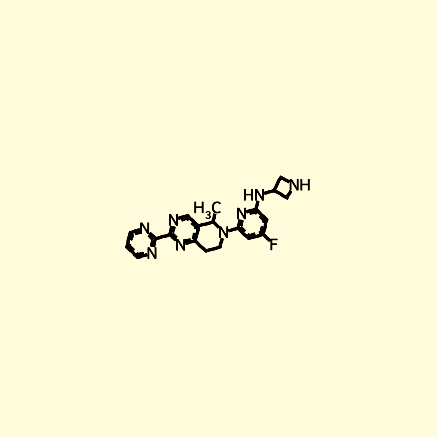 CC1c2cnc(-c3ncccn3)nc2CCN1c1cc(F)cc(NC2CNC2)n1